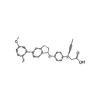 CC#C[C@@H](CC(=O)O)c1ccc(OC2CCc3cc(-c4cc(OC)ccc4F)ccc32)cc1